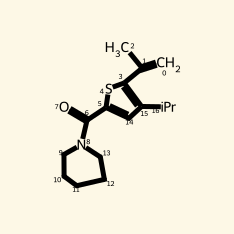 C=C(C)c1sc(C(=O)N2CCCCC2)cc1C(C)C